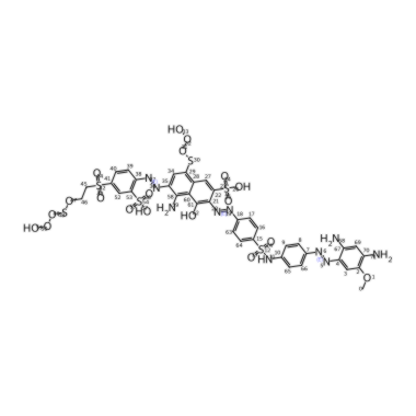 COc1cc(/N=N/c2ccc(NS(=O)(=O)c3ccc(/N=N/c4c(S(=O)(=O)O)cc5c(SOOO)cc(/N=N/c6ccc(S(=O)(=O)CCOSOOO)cc6S(=O)(=O)O)c(N)c5c4O)cc3)cc2)c(N)cc1N